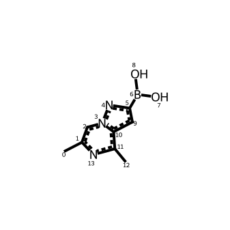 Cc1cn2nc(B(O)O)cc2c(C)n1